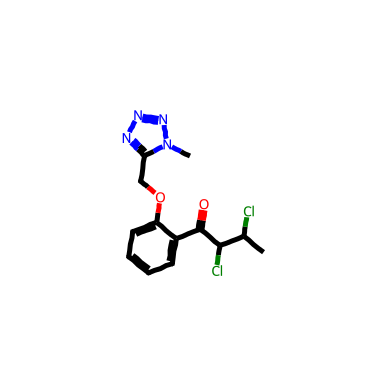 CC(Cl)C(Cl)C(=O)c1ccccc1OCc1nnnn1C